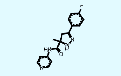 CC1(C(=O)Nc2ccncc2)CC(c2ccc(F)cc2)=NN1